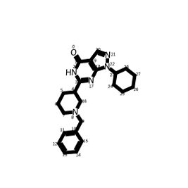 O=c1[nH]c(C2CCCN(Cc3ccccc3)C2)nc2c1cnn2C1CCCCC1